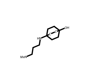 CNCCCNC12CCC(O)(CC1)CC2